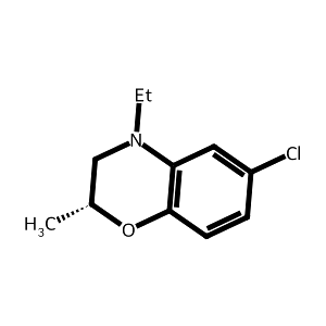 CCN1C[C@@H](C)Oc2ccc(Cl)cc21